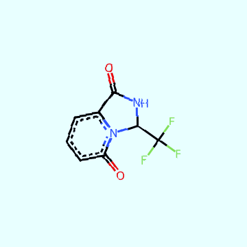 O=C1NC(C(F)(F)F)n2c1cccc2=O